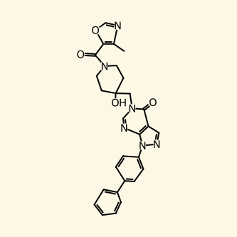 Cc1ncoc1C(=O)N1CCC(O)(Cn2cnc3c(cnn3-c3ccc(-c4ccccc4)cc3)c2=O)CC1